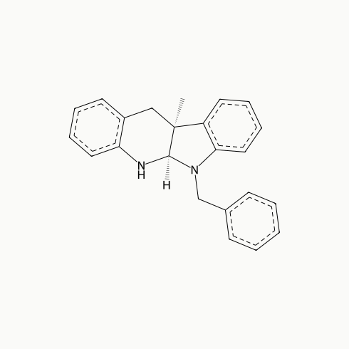 C[C@@]12Cc3ccccc3N[C@@H]1N(Cc1ccccc1)c1ccccc12